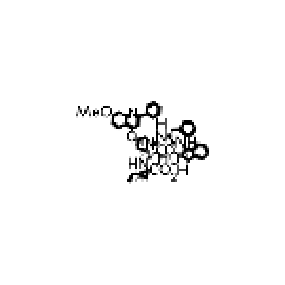 C=C[C@@H]1C[C@]1(NC(=O)[C@@H]1C[C@@H](Oc2cc(-c3ccccc3)nc3cc(OC)ccc23)CN1C(=O)N[C@@H](Cc1ccccc1)C(=O)N[C@H]1c2ccccc2C[C@H]1O)C(=O)O